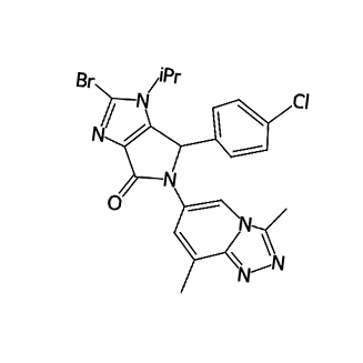 Cc1cc(N2C(=O)c3nc(Br)n(C(C)C)c3C2c2ccc(Cl)cc2)cn2c(C)nnc12